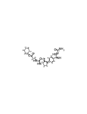 N=C(NOC(N)=O)c1ccc(N2CC[C@H](NC(=O)NCCC(=O)OC3CCCCC3)C2=O)cc1